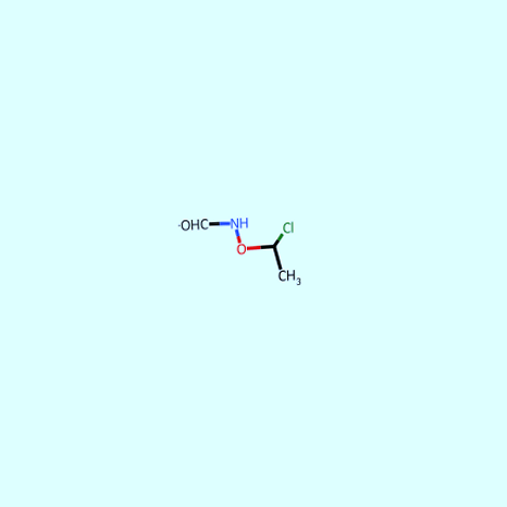 CC(Cl)ON[C]=O